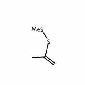 C=C(C)SSC